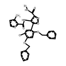 CCNC(=O)c1noc(-c2cc(Cl)c(OCc3ccccc3)cc2OCc2ccccc2)c1NC(=O)c1sccc1C